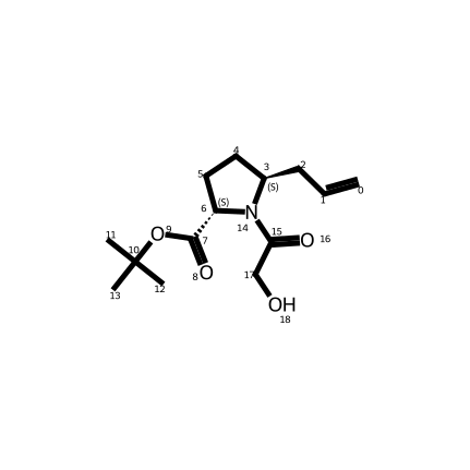 C=CC[C@@H]1CC[C@@H](C(=O)OC(C)(C)C)N1C(=O)CO